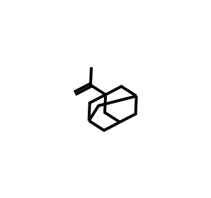 C=C(C)C12CC3CC(CC(C3)C1)C2